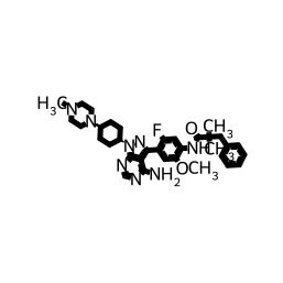 COc1cc(-c2nn([C@H]3CC[C@H](N4CCN(C)CC4)CC3)c3ncnc(N)c23)c(F)cc1NC(=O)C(C)(C)Cc1ccccc1